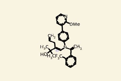 C=CC/C(=C\N(C(=C)c1ccccc1C(F)(F)F)c1ccc(-c2cccnc2OC)cc1)C(C)(C)O